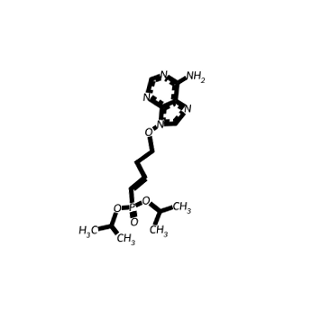 CC(C)OP(=O)(C=CCCOn1cnc2c(N)ncnc21)OC(C)C